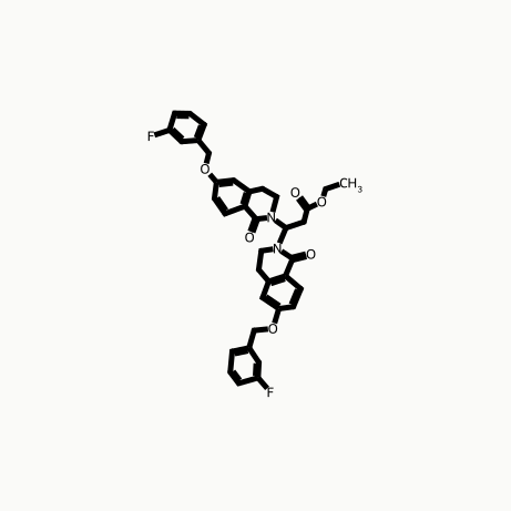 CCOC(=O)CC(N1CCc2cc(OCc3cccc(F)c3)ccc2C1=O)N1CCc2cc(OCc3cccc(F)c3)ccc2C1=O